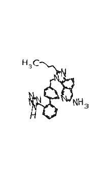 CCCCc1nc2ccc3ccncc3c2n1Cc1ccc(-c2ccccc2-c2nnn[nH]2)cc1.N